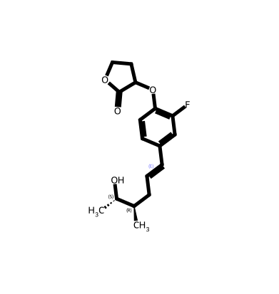 C[C@H](O)[C@H](C)C/C=C/c1ccc(OC2CCOC2=O)c(F)c1